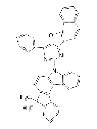 CC1(C)c2ccccc2-c2c1ccc1c2c2ccccc2n1-c1nc(-c2ccccc2)c2oc3c4ccccc4ccc3c2n1